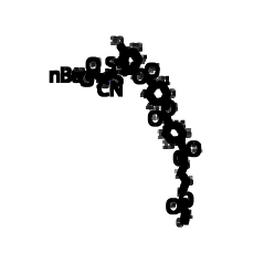 C=CC(=O)OCCCCOC(=O)C1CCC(C(=O)OC2CCC(C(=O)Oc3ccc(C)c4c3S/C(=C(\C#N)C(=O)OCCCC)S4)CC2)CC1